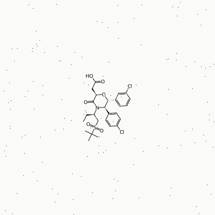 CC[C@H](CS(=O)(=O)C(C)(C)C)N1C(=O)[C@@H](CC(=O)O)O[C@H](c2cccc(Cl)c2)[C@H]1c1ccc(Cl)cc1